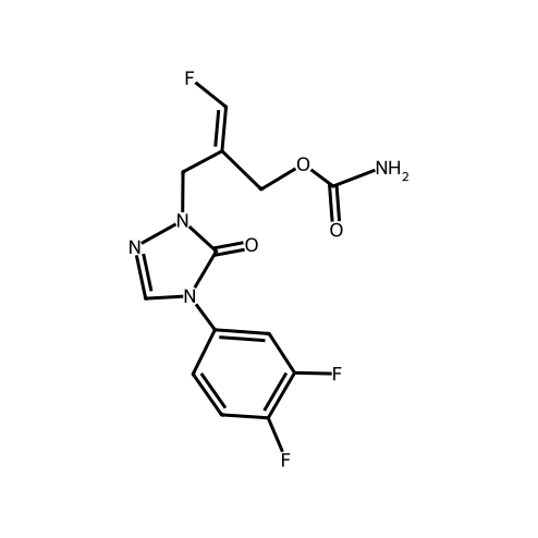 NC(=O)OC/C(=C/F)Cn1ncn(-c2ccc(F)c(F)c2)c1=O